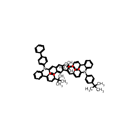 CC(C)(C)c1ccc(-c2ccccc2N(c2ccc(-c3ccccc3)cc2)c2ccc3cc4c(cc3c2)oc2cc3cc(N(c5ccc(C(C)(C)C)cc5)c5ccccc5-c5ccc(C(C)(C)C)cc5)ccc3cc24)cc1